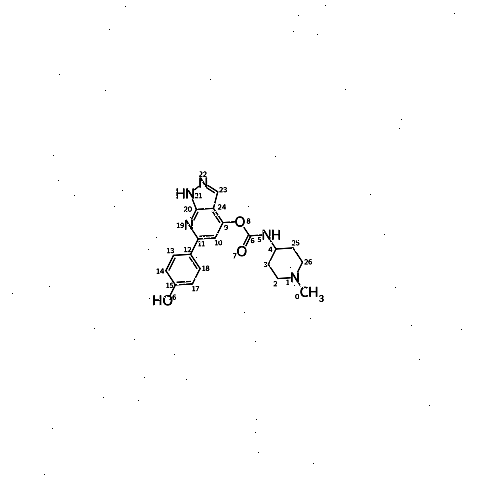 CN1CCC(NC(=O)Oc2cc(-c3ccc(O)cc3)nc3[nH]ncc23)CC1